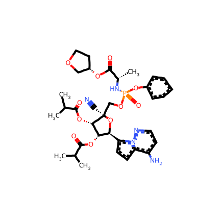 CC(C)C(=O)O[C@H]1[C@H](c2ccc3c(N)ccnn23)O[C@](C#N)(CO[P@@](=O)(N[C@@H](C)C(=O)O[C@H]2CCOC2)Oc2ccccc2)[C@H]1OC(=O)C(C)C